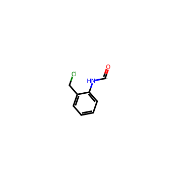 O=[C]Nc1ccccc1CCl